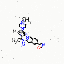 C=C(Nc1cc2cc(-c3cnco3)ccc2cn1)C(/C=C\C(=C)N1CCN(C)CC1)=C/C